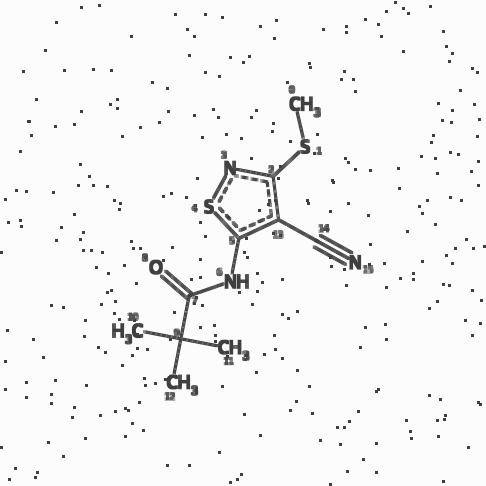 CSc1nsc(NC(=O)C(C)(C)C)c1C#N